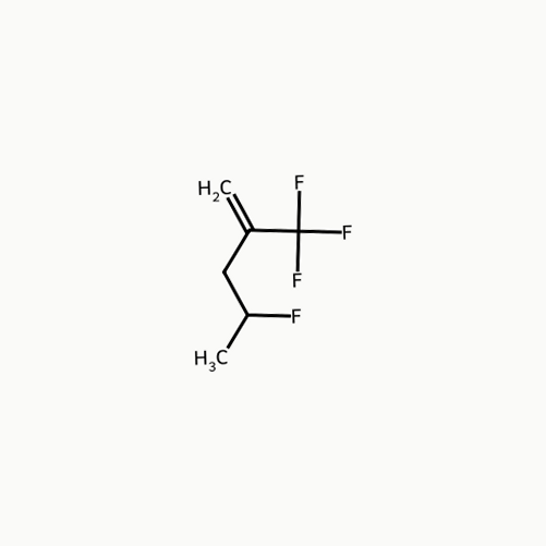 C=C(CC(C)F)C(F)(F)F